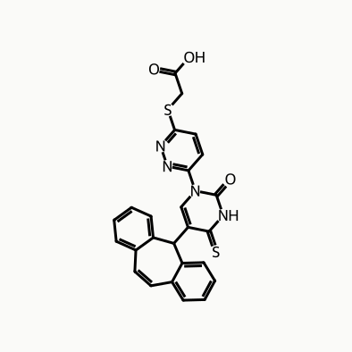 O=C(O)CSc1ccc(-n2cc(C3c4ccccc4C=Cc4ccccc43)c(=S)[nH]c2=O)nn1